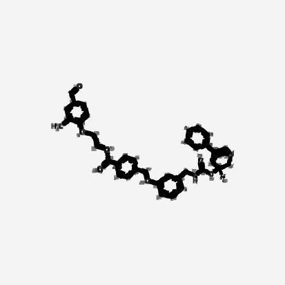 Cc1cc(C=O)ccc1OCCOC(=O)c1ccc(COc2cccc(CNC(=O)O[C@H]3CN4CCC3C(c3ccccc3)C4)c2)cc1